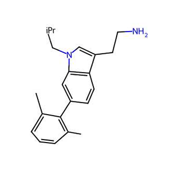 Cc1cccc(C)c1-c1ccc2c(CCN)cn(CC(C)C)c2c1